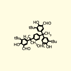 CC(C)(C)c1cc(C(C)(C)c2ccc(C(C)(c3cc(C=O)c(O)c(C(C)(C)C)c3)c3cc(C=O)c(O)c(C(C)(C)C)c3)cc2)cc(C=O)c1O